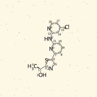 C[C@H](O)c1ncc(-c2cccc(Nc3cc(Cl)ccn3)n2)s1